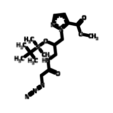 COC(=O)c1ccnn1CC(CNC(=O)CN=[N+]=[N-])O[Si](C)(C)C(C)(C)C